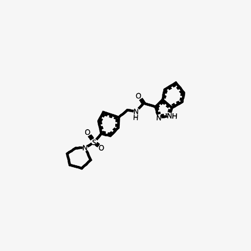 O=C(NCc1ccc(S(=O)(=O)N2CCCCC2)cc1)c1n[nH]c2ccccc12